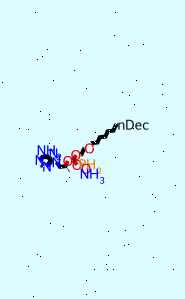 CCCCCCCCCCCCCCCCCOCCOC(O[PH2]=O)O[C@H](C)Cn1cnc2c(N)ncnc21.N